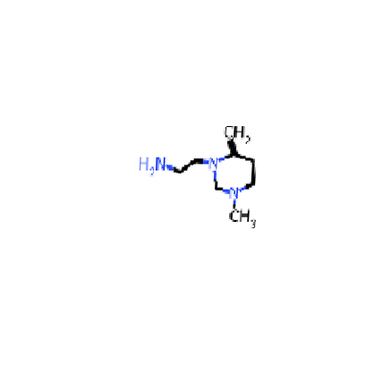 C=C1CCN(C)CN1CCN